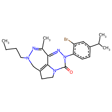 CCCCN1CC2=C3C(=NN(c4ccc(C(C)C)cc4Br)C(=O)N3CC2)C(C)=N1